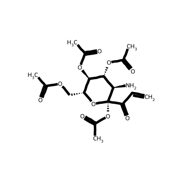 C=CC(=O)[C@@]1(OC(C)=O)O[C@H](COC(C)=O)[C@@H](OC(C)=O)[C@H](OC(C)=O)[C@H]1N